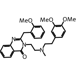 COc1ccccc1Cc1nc2ccccc2c(=O)n1CCN(C)CCc1ccc(OC)c(OC)c1